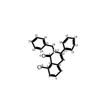 O=c1c2c(Cl)cccc2cc(-c2ccccc2)n1Cc1ccccc1